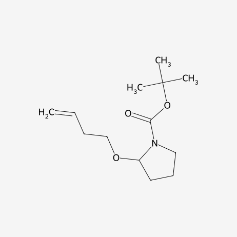 C=CCCOC1CCCN1C(=O)OC(C)(C)C